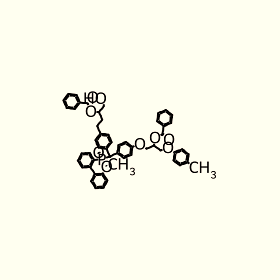 Cc1ccc(OCC(COc2ccc(C(C)(c3ccc(CCC(CO)OC(=O)c4ccccc4)cc3)P3(=O)Oc4ccccc4-c4ccccc43)cc2)OC(=O)c2ccccc2)cc1